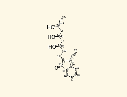 C=C=C(O)C[C@H](O)C[C@H](O)CCN1C(=O)c2ccccc2C1=C=C